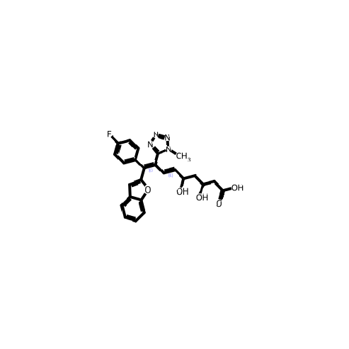 Cn1nnnc1C(/C=C/C(O)CC(O)CC(=O)O)=C(\c1ccc(F)cc1)c1cc2ccccc2o1